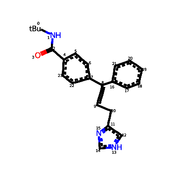 CC(C)(C)NC(=O)c1ccc(C(=CCc2c[nH]cn2)c2ccccc2)cc1